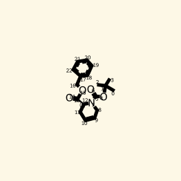 CC(C)(C)OC(=O)N1CC=CC[C@H]1C(=O)OCc1ccccc1